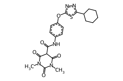 CN1C(=O)C(C(=O)Nc2ccc(Oc3nnc(C4CCCCC4)s3)cc2)C(=O)N(C)C1=O